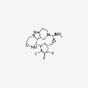 NC(=O)N1CCc2nn3c(c2C1)C(c1cc(F)c(F)c(F)c1F)NOCC3